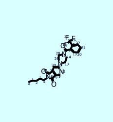 CCCCCN1C(=O)c2cnc(N3CCN(C(=O)c4ccccc4C(F)(F)F)CC3)cc2C1=O